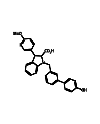 COc1ccc(C2c3ccccc3N(Cc3cccc(-c4ccc(O)cc4)c3)C2C(=O)O)cn1